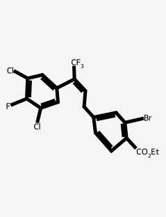 CCOC(=O)c1ccc(CC=C(c2cc(Cl)c(F)c(Cl)c2)C(F)(F)F)cc1Br